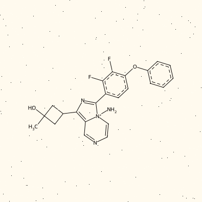 CC1(O)CC(C2=C3C=NC=C[N+]3(N)C(c3ccc(Oc4ccccc4)c(F)c3F)=N2)C1